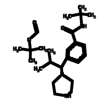 CC(C)(C)OC=O.CC(C)C(c1cccc(C(=O)NC(C)(C)C)c1)N1CCNCC1